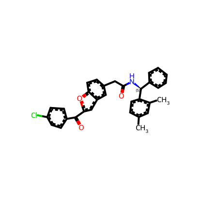 Cc1ccc([C@@H](NC(=O)Cc2ccc3oc(C(=O)c4ccc(Cl)cc4)cc3c2)c2ccccc2)c(C)c1